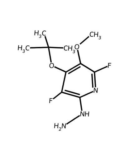 COc1c(F)nc(NN)c(F)c1OC(C)(C)C